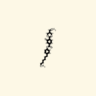 CCCCCCCc1ccc(OC(=O)c2ccc(C3OCC(CC)CO3)c(F)c2)cc1